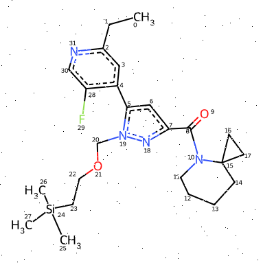 CCc1cc(-c2cc(C(=O)N3CCCCC34CC4)nn2COCC[Si](C)(C)C)c(F)cn1